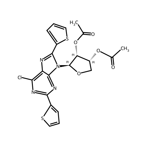 CC(=O)O[C@H]1[C@H](n2c(-c3cccs3)nc3c(Cl)nc(-c4cccs4)nc32)OC[C@H]1OC(C)=O